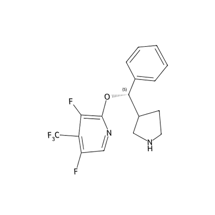 Fc1cnc(O[C@H](c2ccccc2)C2CCNC2)c(F)c1C(F)(F)F